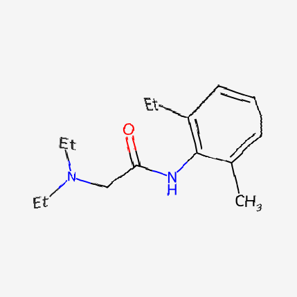 CCc1cccc(C)c1NC(=O)CN(CC)CC